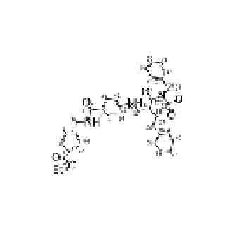 CCS(=O)(=O)c1ccc(CNC(=O)c2ccc(NC[C@H](C(=O)N3C(=O)OC[C@@H]3c3ccccc3)C(C)Cc3ccccc3)cc2)cc1